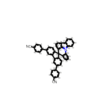 N#Cc1ccc(-c2ccc3c(c2)-c2cc(-c4ccc(C#N)cc4)ccc2C32c3ccccc3-n3c4ccccc4c4cccc2c43)cc1